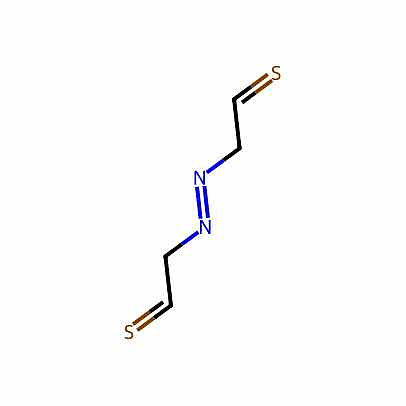 S=CCN=NCC=S